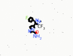 Cn1nc(-c2ccc(F)cc2)c(-c2ccc3ncc(C(N)=O)n3c2)c1C(F)(F)F